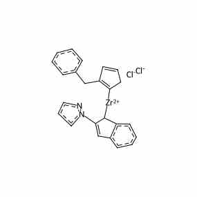 C1=CC(Cc2ccccc2)=[C]([Zr+2][CH]2C(n3cccn3)=Cc3ccccc32)C1.[Cl-].[Cl-]